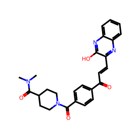 CN(C)C(=O)C1CCN(C(=O)c2ccc(C(=O)C=Cc3nc4ccccc4nc3O)cc2)CC1